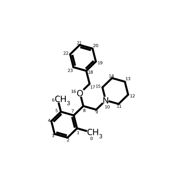 Cc1cccc(C)c1C(CN1CCCCC1)OCc1ccccc1